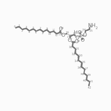 CCCCCCCCCCCCCC(=O)OC[C@H](COP(=O)(O)OCCN)OC(=O)CCCCCCCCCCCCC